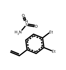 C=Cc1ccc(CC)c(CC)c1.N[SH](=O)=O